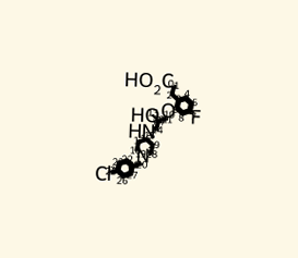 O=C(O)CCc1ccc(F)cc1OC[C@H](O)CNC1CCN(Cc2ccc(Cl)cc2)CC1